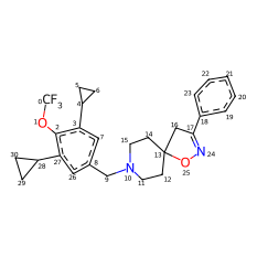 FC(F)(F)Oc1c(C2CC2)cc(CN2CCC3(CC2)CC(c2ccccc2)=NO3)cc1C1CC1